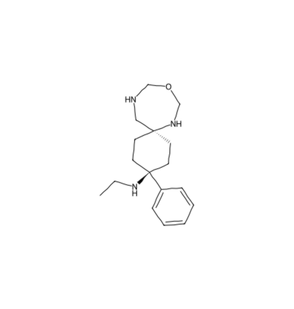 CCN[C@]1(c2ccccc2)CC[C@]2(CC1)CNCOCN2